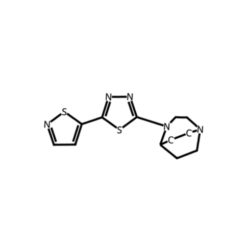 c1cc(-c2nnc(N3CCN4CCC3CC4)s2)sn1